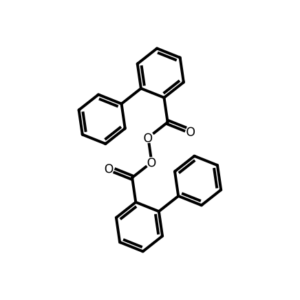 O=C(OOC(=O)c1ccccc1-c1ccccc1)c1ccccc1-c1ccccc1